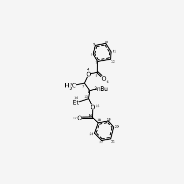 CCCCC(C(C)OC(=O)c1ccccc1)C(CC)OC(=O)c1ccccc1